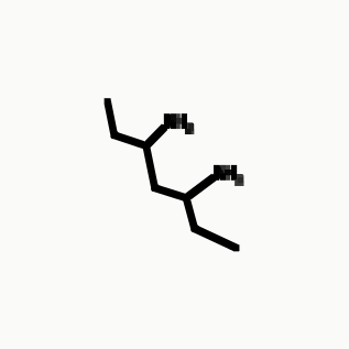 CCC(N)CC(N)CC